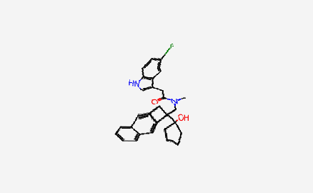 CN(CC1(C2(O)CCCC2)Cc2cc3ccccc3cc21)C(=O)Cc1c[nH]c2ccc(F)cc12